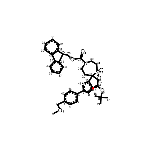 COCc1ccc(-c2ccc(C3(CC(=O)OC(C)(C)C)CCN(C(=O)OCC4c5ccccc5-c5ccccc54)CCS3(=O)=O)s2)cc1